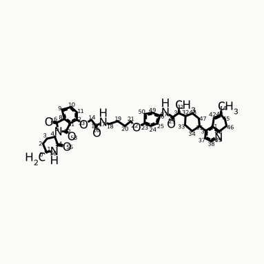 C=C1CCC(N2C(=O)c3cccc(OCC(=O)NCCCCOc4ccc(NC(=O)C(C)C5CCC(c6ccnc7c6C=C(C)CC7)CC5)cc4)c3C2=O)C(=O)N1